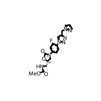 COC(=O)NC[C@H]1CN(c2ccc(-n3cc(Cn4cccn4)nn3)c(F)c2)C(=O)O1